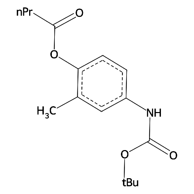 CCCC(=O)Oc1ccc(NC(=O)OC(C)(C)C)cc1C